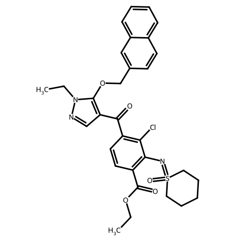 CCOC(=O)c1ccc(C(=O)c2cnn(CC)c2OCc2ccc3ccccc3c2)c(Cl)c1N=S1(=O)CCCCC1